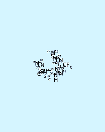 CC1CN([S+]([O-])c2cn(C)cn2)CCC1Nc1ncc(C(F)(F)F)c(-c2cn(SN(C)C)cn2)n1